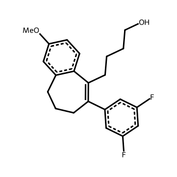 COc1ccc2c(c1)CCCC(c1cc(F)cc(F)c1)=C2CCCCO